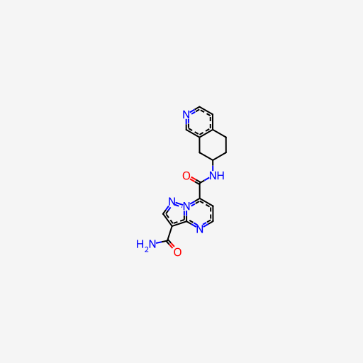 NC(=O)c1cnn2c(C(=O)NC3CCc4ccncc4C3)ccnc12